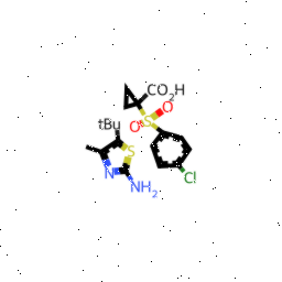 Cc1nc(N)sc1C(C)(C)C.O=C(O)C1(S(=O)(=O)c2ccc(Cl)cc2)CC1